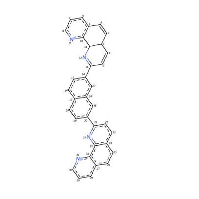 C1=CC2C=Cc3cccnc3C2N=C1c1ccc2ccc(-c3ccc4ccc5cccnc5c4n3)cc2c1